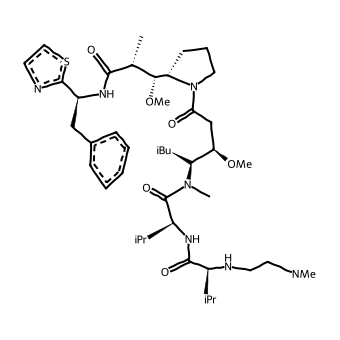 CC[C@H](C)[C@@H]([C@@H](CC(=O)N1CCC[C@H]1[C@H](OC)[C@@H](C)C(=O)N[C@@H](Cc1ccccc1)c1nccs1)OC)N(C)C(=O)[C@@H](NC(=O)[C@@H](NCCNC)C(C)C)C(C)C